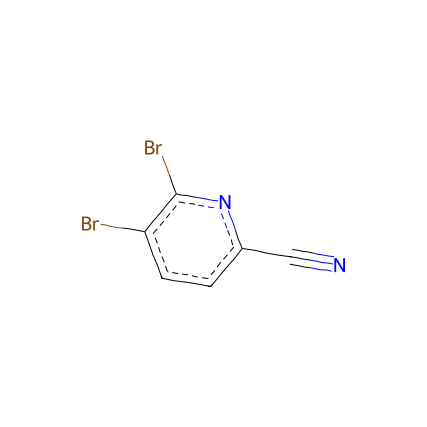 N#Cc1ccc(Br)c(Br)n1